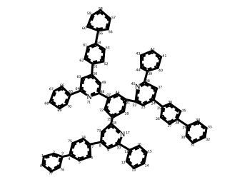 c1ccc(-c2ccc(-c3cc(-c4ccccc4)nc(-c4cc(-c5cc(-c6ccc(-c7ccccc7)cc6)cc(-c6ccccc6)n5)cc(-c5cc(-c6ccc(-c7ccccc7)cc6)cc(-c6ccccc6)n5)c4)c3)cc2)cc1